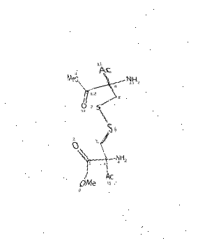 COC(=O)C(N)(CSSCC(N)(C(C)=O)C(=O)OC)C(C)=O